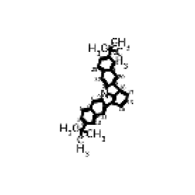 CC(C)(C)c1ccc2cc3c(cc2c1)c1cccc2c4cc5cc(C(C)(C)C)ccc5cc4n3c12